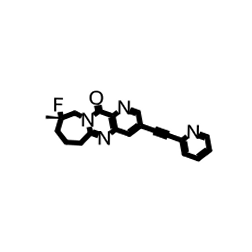 C[C@]1(F)CCCc2nc3cc(C#Cc4ccccn4)cnc3c(=O)n2C1